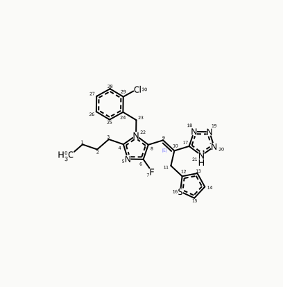 CCCCc1nc(F)c(/C=C(\Cc2cccs2)c2nnn[nH]2)n1Cc1ccccc1Cl